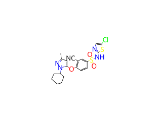 Cc1cc(Oc2ccc(S(=O)(=O)Nc3ncc(Cl)s3)cc2C#N)n(C2CCCCC2)n1